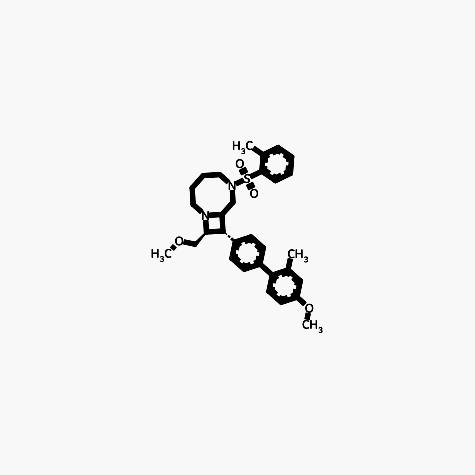 COC[C@@H]1[C@@H](c2ccc(-c3ccc(OC)cc3C)cc2)C2CN(S(=O)(=O)c3ccccc3C)CCCCN21